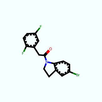 O=C(Cc1cc(F)ccc1F)N1CCc2cc(Br)ccc21